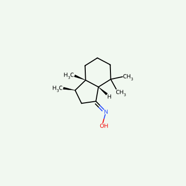 C[C@@H]1C/C(=N\O)[C@H]2C(C)(C)CCC[C@@]12C